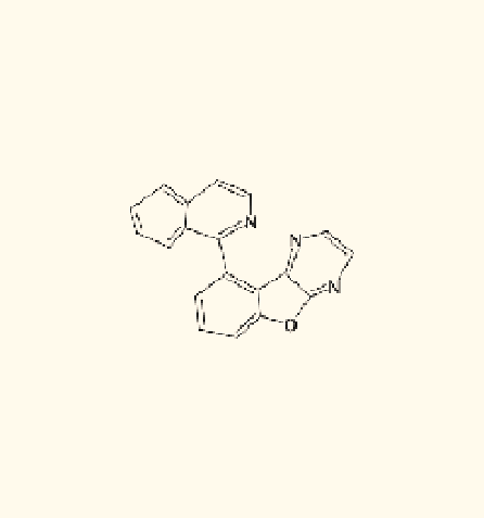 c1ccc2c(-c3cccc4oc5nccnc5c34)nccc2c1